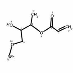 C=CC(=O)OC(C)C(O)COCCC